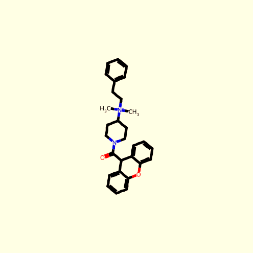 C[N+](C)(CCc1ccccc1)C1CCN(C(=O)C2c3ccccc3Oc3ccccc32)CC1